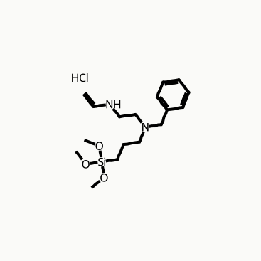 C=CNCCN(CCC[Si](OC)(OC)OC)Cc1ccccc1.Cl